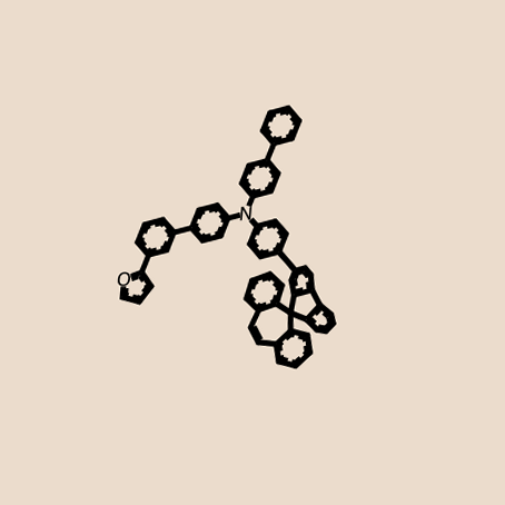 C1=Cc2ccccc2C2(c3ccccc31)c1ccccc1-c1ccc(-c3ccc(N(c4ccc(-c5ccccc5)cc4)c4ccc(-c5cccc(-c6ccco6)c5)cc4)cc3)cc12